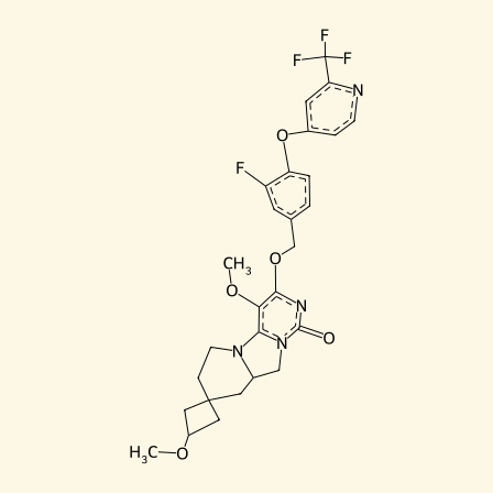 COc1c(OCc2ccc(Oc3ccnc(C(F)(F)F)c3)c(F)c2)nc(=O)n2c1N1CCC3(CC(OC)C3)CC1C2